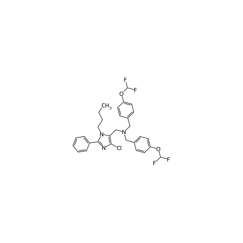 CCCCn1c(-c2ccccc2)nc(Cl)c1CN(Cc1ccc(OC(F)F)cc1)Cc1ccc(OC(F)F)cc1